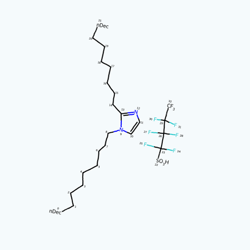 CCCCCCCCCCCCCCCCCCn1ccnc1CCCCCCCCCCCCCCCCC.O=S(=O)(O)C(F)(F)C(F)(F)C(F)(F)C(F)(F)F